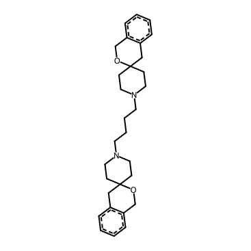 c1ccc2c(c1)COC1(CCN(CCCCN3CCC4(CC3)Cc3ccccc3CO4)CC1)C2